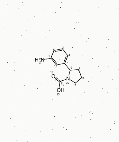 Nc1cccc(C2CCCN2C(=O)O)c1